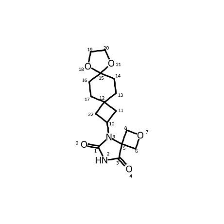 O=C1NC(=O)C2(COC2)N1C1CC2(CCC3(CC2)OCCO3)C1